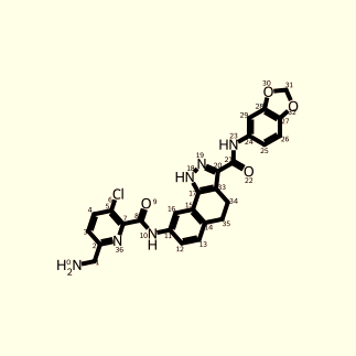 NCc1ccc(Cl)c(C(=O)Nc2ccc3c(c2)-c2[nH]nc(C(=O)Nc4ccc5c(c4)OCO5)c2CC3)n1